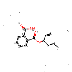 C=CC(CCC)OC(=O)c1ccccc1C(=O)O